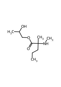 CCCC(C)(NC)C(=O)OCC(C)O